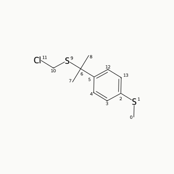 CSc1ccc(C(C)(C)SCCl)cc1